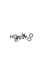 COc1ccccc1Cn1cc2c(n1)CN(C(=O)O)C2